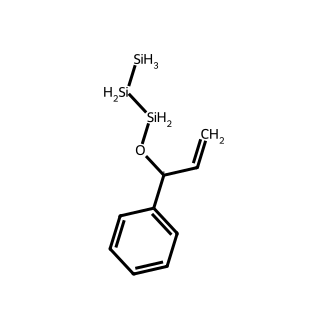 C=C[C](O[SiH2][SiH2][SiH3])c1ccccc1